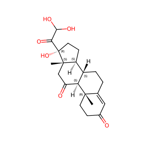 C[C@]12CCC(=O)C=C1CC[C@@H]1[C@@H]2C(=O)C[C@@]2(C)[C@H]1CC[C@]2(O)C(=O)C(O)O